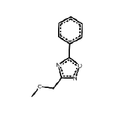 COCc1noc(-c2ccccc2)n1